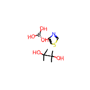 CC(C)(O)C(C)(C)O.OB(O)O.c1cscn1